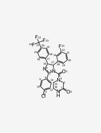 O=C1CN(C(=O)N2C(c3ccc(Cl)cc3)=NC(c3ccc(C(F)(F)F)cc3)C2c2cccc(F)c2)CCN1